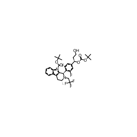 C[C@@H]1Cc2c(n(C(=O)OC(C)(C)C)c3ccccc23)[C@@H](c2c(F)cc([C@@H](CCO)OC(=O)OC(C)(C)C)cc2F)N1CC(F)(F)F